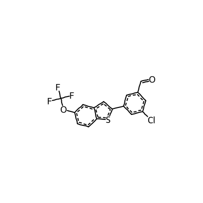 O=Cc1cc(Cl)cc(-c2cc3cc(OC(F)(F)F)ccc3s2)c1